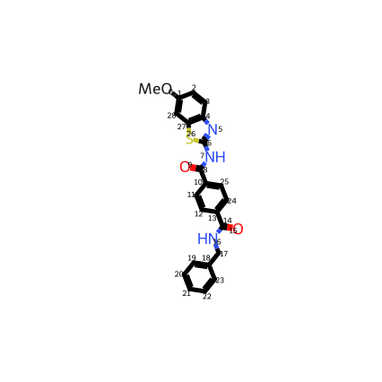 COc1ccc2nc(NC(=O)c3ccc(C(=O)NCc4ccccc4)cc3)sc2c1